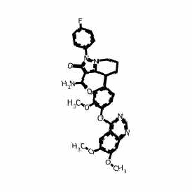 COc1cc2ncnc(Oc3ccc(C4CCCn5c4c(C(N)=O)c(=O)n5-c4ccc(F)cc4)cc3OC)c2cc1OC